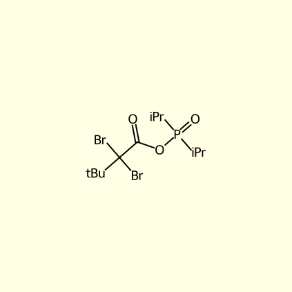 CC(C)P(=O)(OC(=O)C(Br)(Br)C(C)(C)C)C(C)C